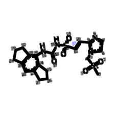 CS(=O)(=O)Cn1ccnc1/C=C/S(=O)(=O)NC(=O)Nc1c2c(cc3c1CCC3)CCC2